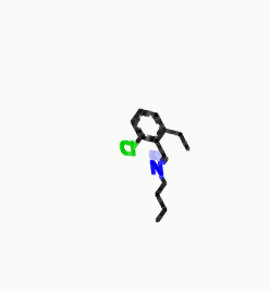 CCCC/N=C/c1c(Cl)cccc1CC